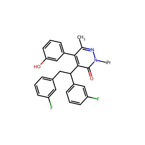 Cc1nn(C(C)C)c(=O)c(C(Cc2cccc(F)c2)c2cccc(F)c2)c1-c1cccc(O)c1